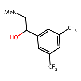 CNCC(O)c1cc(C(F)(F)F)cc(C(F)(F)F)c1